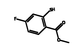 COC(=O)c1ccc(F)cc1S